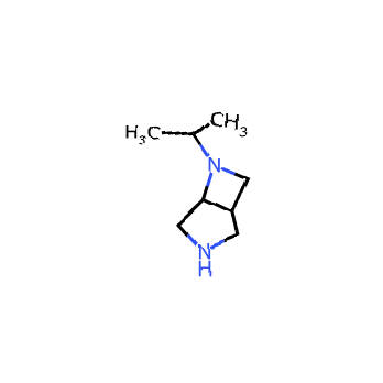 CC(C)N1CC2CNCC21